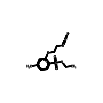 CCOS(=O)(=O)c1ccc(C)cc1OCCN=[N+]=[N-]